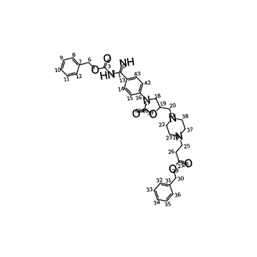 N=C(NC(=O)OCc1ccccc1)c1ccc(N2CC(CN3CCN(CCC(=O)OCc4ccccc4)CC3)OC2=O)cc1